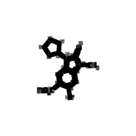 CCOC(=O)c1cc2c(cc1Br)n(C)c(=O)n2C1CCCC1